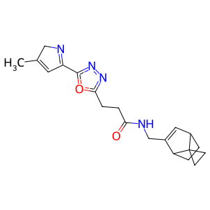 CC1=CC(c2nnc(CCC(=O)NCC3=CC4CCC3C43CC3)o2)=NC1